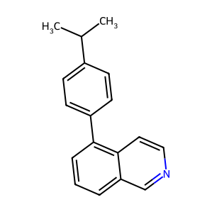 CC(C)c1ccc(-c2cccc3cnccc23)cc1